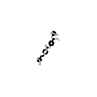 CC(Sc1ncc[nH]1)c1ccc(OC(=O)N2CCN(CCc3c[nH]cn3)CC2)cc1